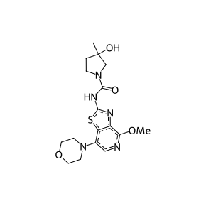 COc1ncc(N2CCOCC2)c2sc(NC(=O)N3CCC(C)(O)C3)nc12